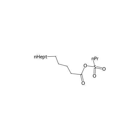 CCCCCCCCCCCC(=O)OS(=O)(=O)CCC